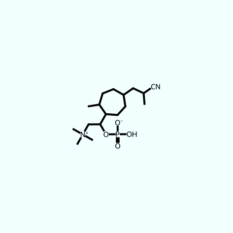 CC(C#N)CC1CCC(C)C(C(C[N+](C)(C)C)OP(=O)([O-])O)CC1